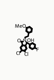 COc1cccc(CCN2C(=O)c3cc(Cl)c(Cl)cc3C2(O)c2ccc(F)cc2)c1